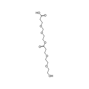 O=C(O)CCOCOCCOC(=O)CCOCCOCCO